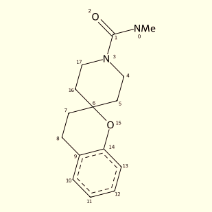 CNC(=O)N1CCC2(CCc3ccccc3O2)CC1